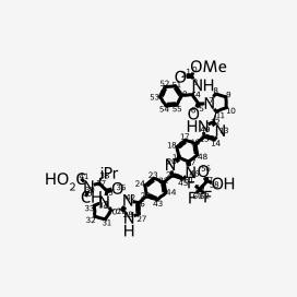 COC(=O)N[C@@H](C(=O)N1CCC[C@H]1c1ncc(-c2ccc3nc(-c4ccc(-c5c[nH]c([C@@H]6CCCN6C(=O)[C@H](C(C)C)N(C)C(=O)O)n5)cc4)cnc3c2)[nH]1)c1ccccc1.O=C(O)C(F)(F)F